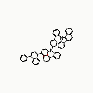 c1ccc(-c2ccccc2N(c2ccc(-c3ccccc3-n3c4ccccc4c4ccc5ccccc5c43)cc2)c2ccc(-c3ccc(-c4ccccc4)c4ccccc34)cc2)cc1